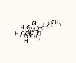 CCCCCCCC(Cl)CC[N+](CC)(CC)CC(C)O.[Cl-]